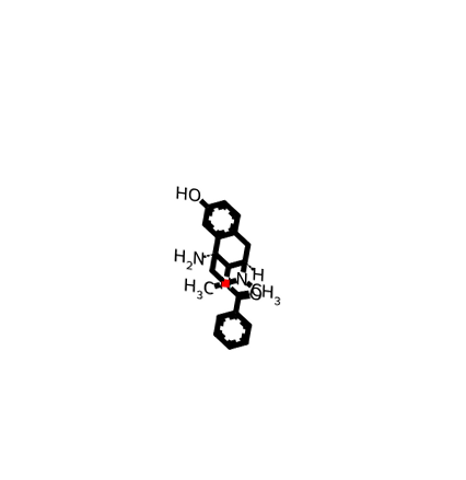 CN(C(=O)c1ccccc1)C1[C@H]2Cc3ccc(O)cc3[C@]1(N)CCN2C